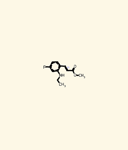 CCNc1cc(F)ccc1/C=C/C(=O)OC